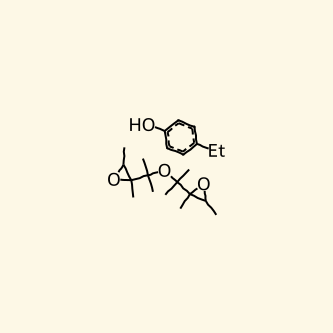 CC1OC1(C)C(C)(C)OC(C)(C)C1(C)OC1C.CCc1ccc(O)cc1